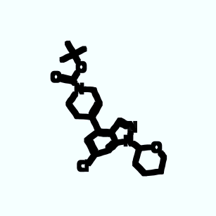 CC(C)(C)OC(=O)N1CC=C(c2cc(Cl)cc3c2cnn3C2CCCCO2)CC1